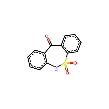 O=C1c2ccccc2NS(=O)(=O)c2ccccc21